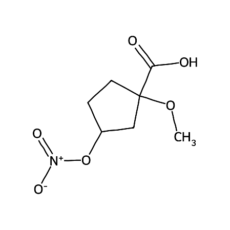 COC1(C(=O)O)CCC(O[N+](=O)[O-])C1